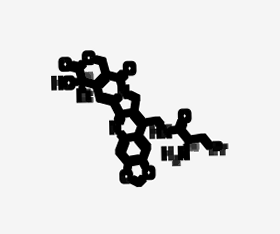 CC[C@@]1(O)C(=O)OCc2c1cc1n(c2=O)Cc2c-1nc1cc3c(cc1c2CNC(=O)[C@@H](N)CC(C)C)OCO3